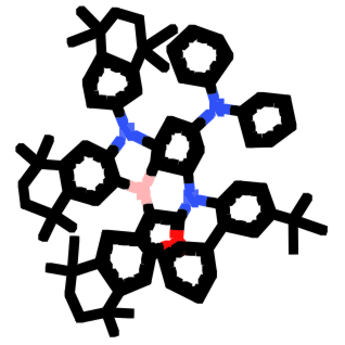 CC(C)(C)c1ccc(N2c3cc(N(c4ccccc4)c4ccccc4)cc4c3B(c3cc5c(cc3N4c3ccc4c(c3)C(C)(C)CCC4(C)C)C(C)(C)CCC5(C)C)c3c2oc2cc4c(cc32)C(C)(C)CCC4(C)C)c(-c2ccccc2)c1